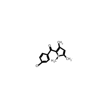 [CH2]c1cc(C)c(C(=O)c2ccc(Cl)cc2)n1C